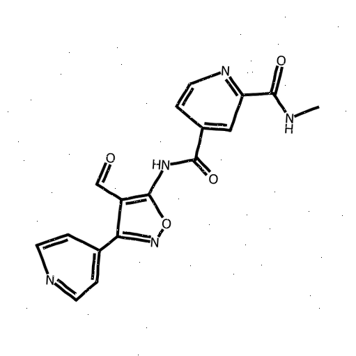 CNC(=O)c1cc(C(=O)Nc2onc(-c3ccncc3)c2C=O)ccn1